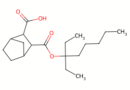 CCCCCC(CC)(CC)OC(=O)C1C2CCC(C2)C1C(=O)O